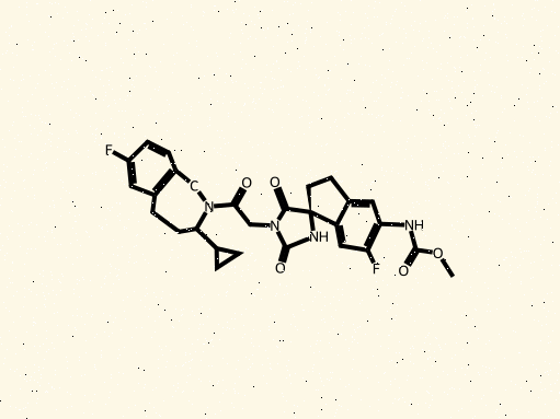 COC(=O)Nc1cc2c(cc1F)[C@]1(CC2)NC(=O)N(CC(=O)N2Cc3ccc(F)cc3CCC2C2CC2)C1=O